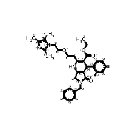 CCOC(=O)C1=C(CCOCCn2c(C)nc(C)c2C)NC2=C(C(=O)N(Cc3ccccc3)C2)C1c1ccccc1Cl